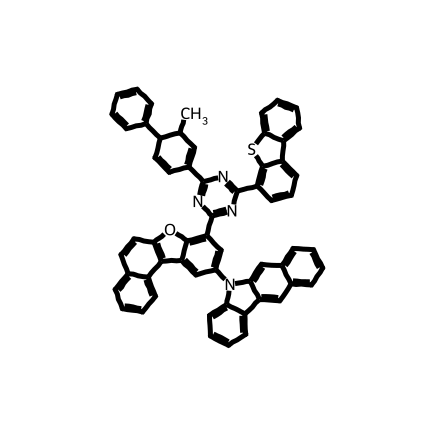 CC1C=C(c2nc(-c3cc(-n4c5ccccc5c5cc6ccccc6cc54)cc4c3oc3ccc5ccccc5c34)nc(-c3cccc4c3sc3ccccc34)n2)C=CC1c1ccccc1